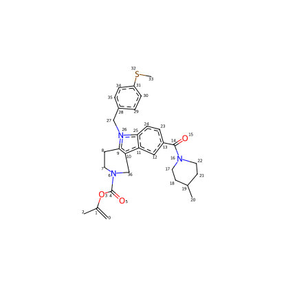 C=C(C)OC(=O)N1CCc2c(c3cc(C(=O)N4CCC(C)CC4)ccc3n2Cc2ccc(SC)cc2)C1